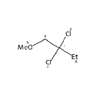 CCC(Cl)(Cl)COC